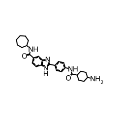 NC1CCC(C(=O)Nc2ccc(-c3nc4cc(C(=O)NC5CCCCCC5)ccc4[nH]3)cc2)CC1